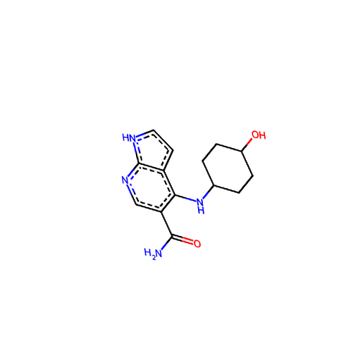 NC(=O)c1cnc2[nH]ccc2c1NC1CCC(O)CC1